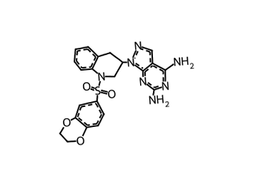 Nc1nc(N)c2cnn(C3Cc4ccccc4N(S(=O)(=O)c4ccc5c(c4)OCCO5)C3)c2n1